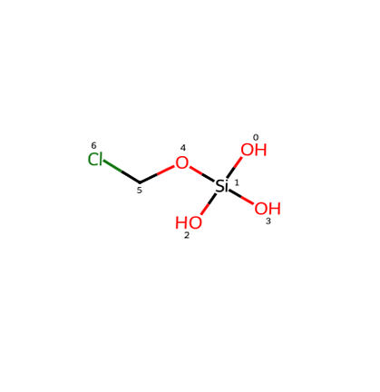 O[Si](O)(O)OCCl